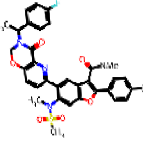 CNC(=O)c1c(-c2ccc(C)cc2)oc2cc(N(C)S(C)(=O)=O)c(-c3ccc4c(n3)C(=O)N(C(C)c3ccc(F)cc3)CO4)cc12